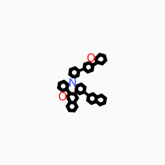 c1cc(-c2ccc3c(c2)oc2ccccc23)cc(N(c2ccc(-c3ccc4ccccc4c3)cc2)c2cccc3oc4c5ccccc5ccc4c23)c1